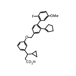 COc1ccc(F)c(-c2ccc(COc3cccc(C(CC(=O)O)C4CC4)c3)cc2C2=CCCC2)c1